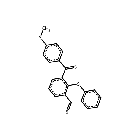 CSc1ccc(C(=S)c2cccc([C]=S)c2Sc2ccccc2)cc1